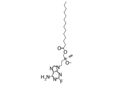 C#C[C@](CCn1cnc2c(N)nc(F)nc21)(COC(=O)CCCCCCCCCCCCC)OC